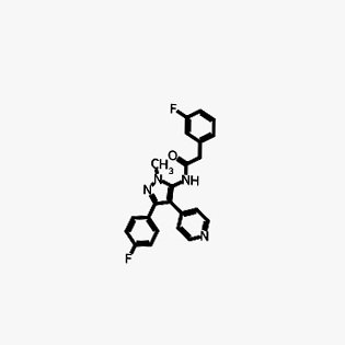 Cn1nc(-c2ccc(F)cc2)c(-c2ccncc2)c1NC(=O)Cc1cccc(F)c1